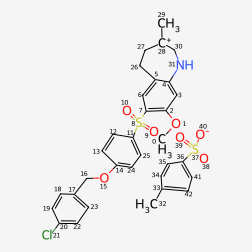 COc1cc2c(cc1S(=O)(=O)c1ccc(OCc3ccc(Cl)cc3)cc1)CC[C+](C)CN2.Cc1ccc(S(=O)(=O)[O-])cc1